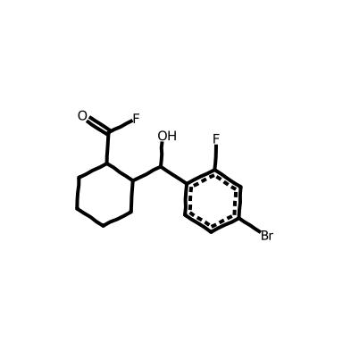 O=C(F)C1CCCCC1C(O)c1ccc(Br)cc1F